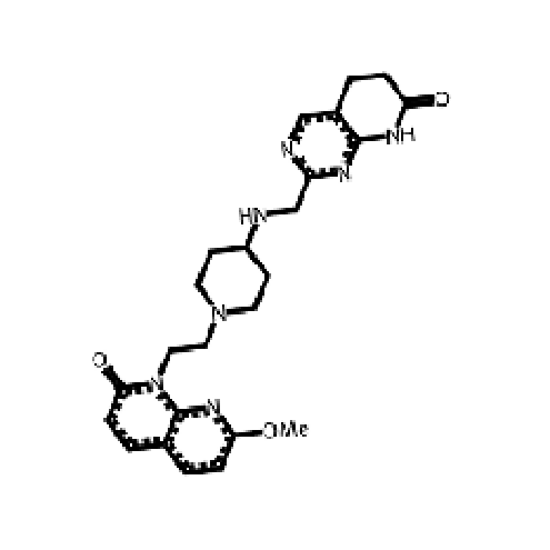 COc1ccc2ccc(=O)n(CCN3CCC(NCc4ncc5c(n4)NC(=O)CC5)CC3)c2n1